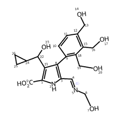 O=C(O)c1[nH]c(/C=N/CO)c(-c2ccc(CO)c(CO)c2CO)c1C(O)C1CC1